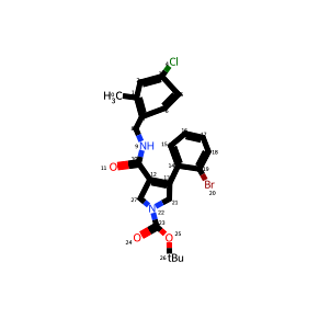 Cc1cc(Cl)ccc1CNC(=O)C1=C(c2ccccc2Br)CN(C(=O)OC(C)(C)C)C1